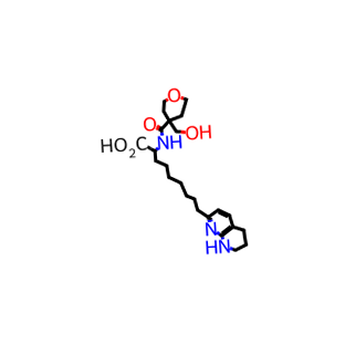 O=C(O)C(CCCCCCCc1ccc2c(n1)NCCC2)NC(=O)C1(CO)CCOCC1